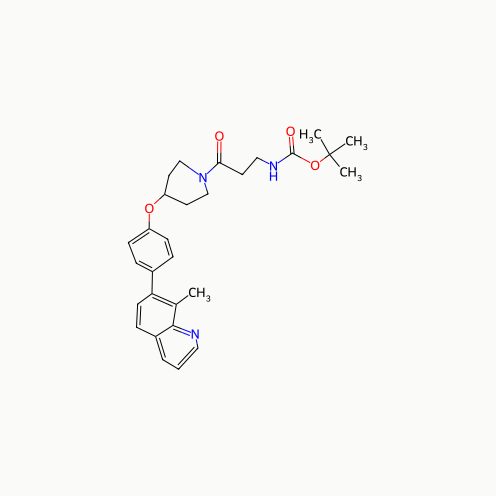 Cc1c(-c2ccc(OC3CCN(C(=O)CCNC(=O)OC(C)(C)C)CC3)cc2)ccc2cccnc12